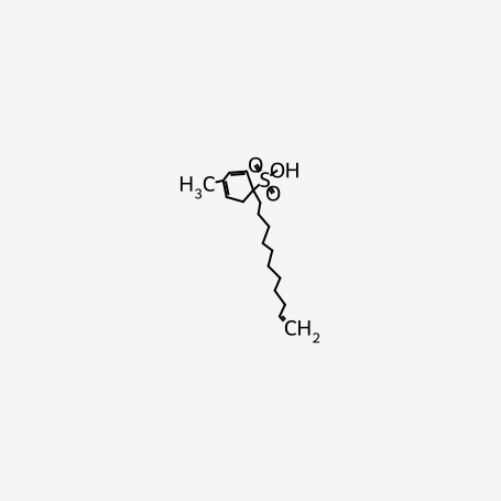 C=CCCCCCCCCCC1(S(=O)(=O)O)C=CC(C)=CC1